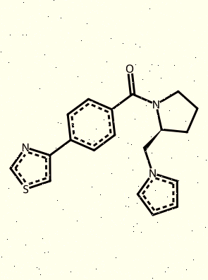 O=C(c1ccc(-c2cscn2)cc1)N1CCC[C@H]1Cn1cccc1